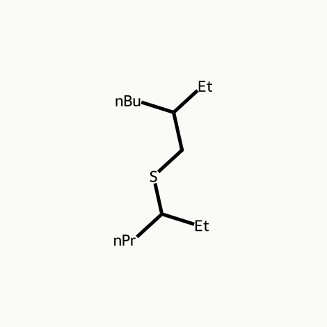 [CH2]CCC(CC)SCC(CC)CCCC